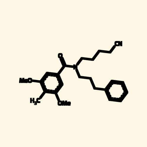 COc1cc(C(=O)N(CCCCC#N)CCCc2ccccc2)cc(OC)c1C